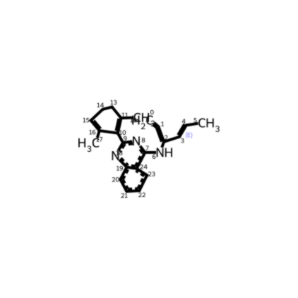 C=C=C(/C=C/C)Nc1nc(C2=C(C)CCC=C2C)nc2ccccc12